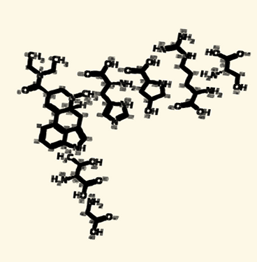 CCN(CC)C(=O)[C@@H]1C=C2c3cccc4[nH]cc(c34)C[C@H]2N(C)C1.C[C@@H](O)[C@H](N)C(=O)O.N=C(N)NCCCC(N)C(=O)O.NCC(=O)O.N[C@@H](CO)C(=O)O.N[C@@H](Cc1cnc[nH]1)C(=O)O.O=C(O)C1CC(O)CN1